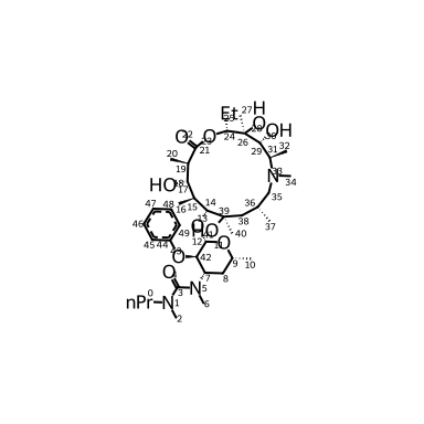 CCCN(C)C(=O)N(C)[C@H]1C[C@@H](C)O[C@@H](O[C@@H]2[C@@H](C)[C@H](O)[C@@H](C)C(=O)O[C@H](CC)[C@@](C)(O)[C@H](O)[C@@H](C)N(C)C[C@H](C)C[C@@]2(C)O)[C@@H]1Oc1ccccc1